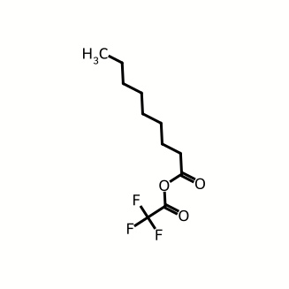 CCCCCCCCC(=O)OC(=O)C(F)(F)F